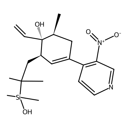 C=C[C@@]1(O)[C@@H](C)CC(c2ccncc2[N+](=O)[O-])=C[C@H]1CC(C)(C)[Si](C)(C)O